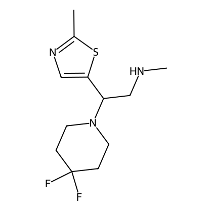 CNCC(c1cnc(C)s1)N1CCC(F)(F)CC1